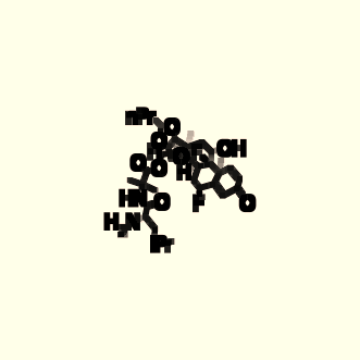 CCCC1O[C@@H]2CC3[C@@H]4C[C@H](F)C5=CC(=O)C=C[C@]5(C)[C@@]4(F)[C@@H](O)C[C@]3(C)[C@]2(C(=O)COC(=O)C(C)(C)NC(=O)[C@@H](N)CC(C)C)O1